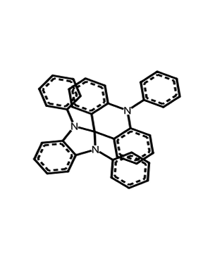 c1ccc(N2c3ccccc3C3(c4ccccc42)N(c2ccccc2)c2ccccc2N3c2ccccc2)cc1